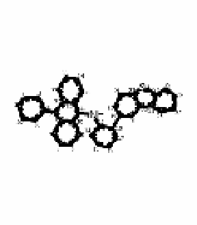 c1ccc(-c2c3ccccc3c(Nc3ccccc3-c3ccc4sc5ccccc5c4c3)c3ccccc23)cc1